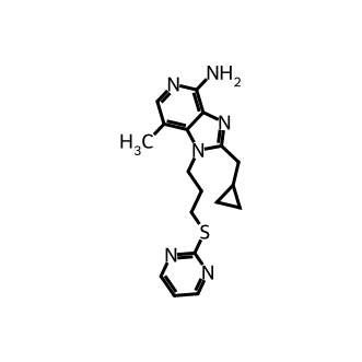 Cc1cnc(N)c2nc(CC3CC3)n(CCCSc3ncccn3)c12